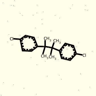 CC(C)(c1ccc(Cl)cc1)C(C)(C)c1ccc(Cl)cc1